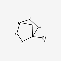 [CH2]CC12CCC(CC1)C2